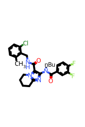 CCCCN(C(=O)c1ccc(F)c(F)c1)c1nc2n(c1C(=O)NCc1c(C)cccc1Cl)CCCC2